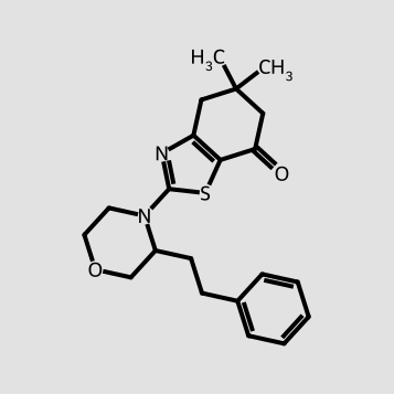 CC1(C)CC(=O)c2sc(N3CCOCC3CCc3ccccc3)nc2C1